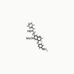 COc1cc2c(Oc3ccc(N)cc3)ccnc2cc1OCC(O)CN1CCOCC1